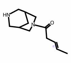 C/C=C/CC(=O)N1CC2CNCC(C2)C1